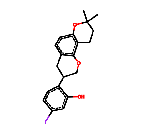 CC1(C)CCc2c(ccc3c2OCC(c2ccc(I)cc2O)C3)O1